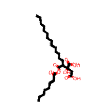 CCCCCCCCCCCCCCC(C(=O)OC(=O)CCCCCCC)C(O)(CC(=O)O)C(=O)O